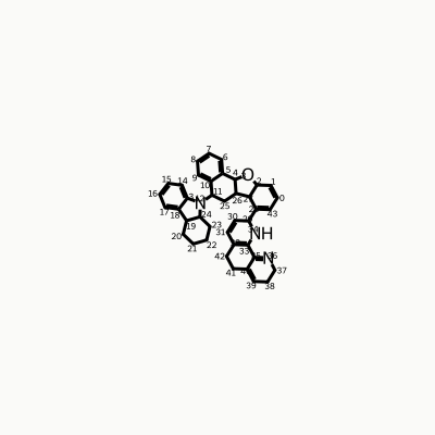 C1=CC2OC3c4ccccc4C(N4c5ccccc5C5CCCCC54)CC3C2C(C2C=CC3=C(N2)C2=NCCC=C2CC3)=C1